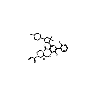 C=CC(=O)N1CCN2C(=O)c3c(N4CC(N5CCN(C)CC5)CC4(C)C)nc(-c4ncccc4F)c(Cl)c3OC[C@H]2C1